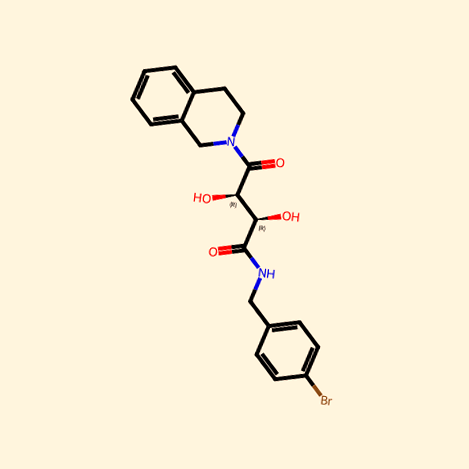 O=C(NCc1ccc(Br)cc1)[C@H](O)[C@@H](O)C(=O)N1CCc2ccccc2C1